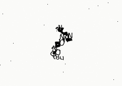 Cn1cc(-c2cc3nccn3c(O[C@]3(C)C[C@H](N(C)C(=O)OC(C)(C)C)C3)n2)cn1